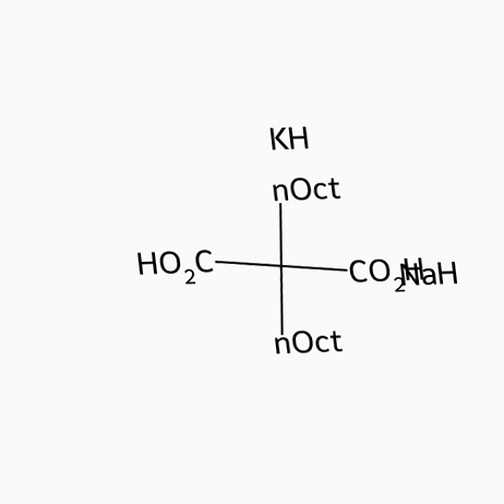 CCCCCCCCC(CCCCCCCC)(C(=O)O)C(=O)O.[KH].[NaH]